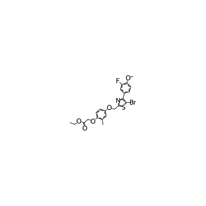 CCOC(=O)COc1ccc(OCc2nc(-c3ccc(OC)c(F)c3)c(Br)s2)cc1C